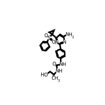 C[C@H](CO)NC(=O)Nc1ccc(-c2nc(N)cc(C3(S(=O)(=O)c4ccccc4)CC3)n2)cc1